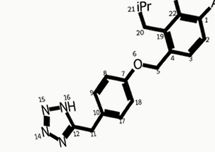 CC(=O)c1ccc(COc2ccc(Cc3nnn[nH]3)cc2)c(CC(C)C)c1O